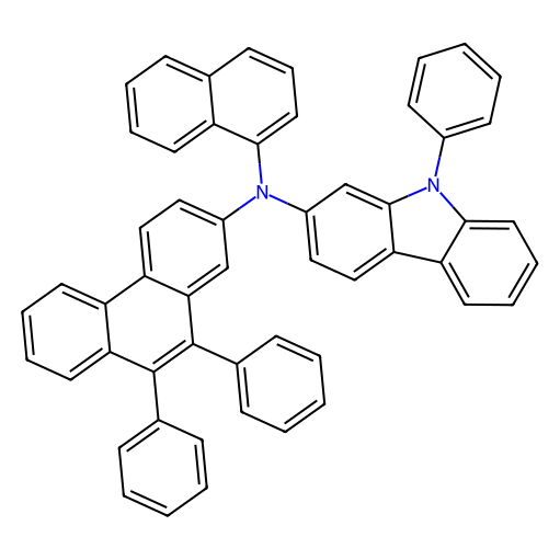 c1ccc(-c2c(-c3ccccc3)c3cc(N(c4ccc5c6ccccc6n(-c6ccccc6)c5c4)c4cccc5ccccc45)ccc3c3ccccc23)cc1